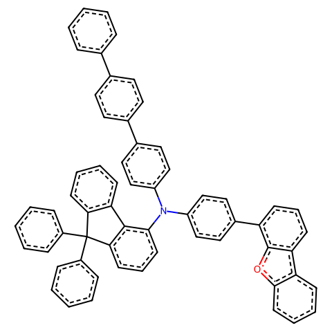 c1ccc(-c2ccc(-c3ccc(N(c4ccc(-c5cccc6c5oc5ccccc56)cc4)c4cccc5c4-c4ccccc4C5(c4ccccc4)c4ccccc4)cc3)cc2)cc1